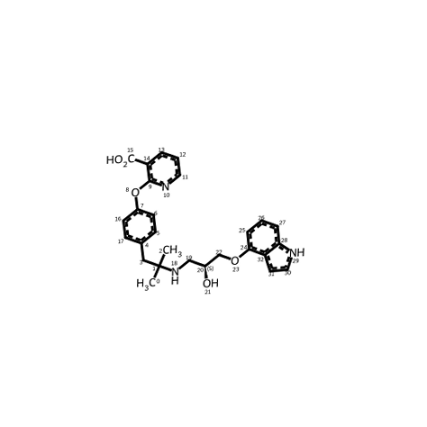 CC(C)(Cc1ccc(Oc2ncccc2C(=O)O)cc1)NC[C@H](O)COc1cccc2[nH]ccc12